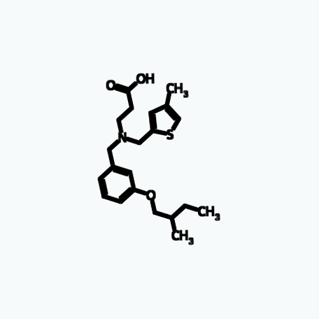 CCC(C)COc1cccc(CN(CCC(=O)O)Cc2cc(C)cs2)c1